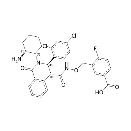 N[C@H]1CCCC[C@@H]1N1C(=O)c2ccccc2[C@@H](C(=O)NOCc2cc(C(=O)O)ccc2F)[C@@H]1c1ccc(Cl)cc1Cl